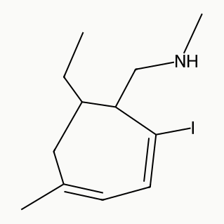 CCC1CC(C)=CC=C(I)C1CNC